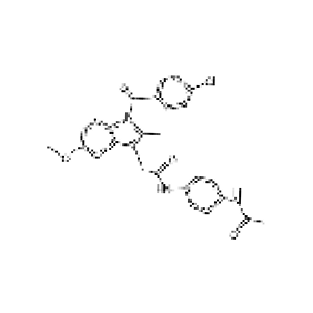 COc1ccc2c(c1)c(CC(=O)Nc1ccc(NC(C)=O)cc1)c(C)n2C(=O)c1ccc(Cl)cc1